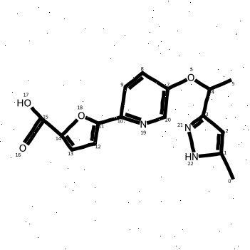 Cc1cc(C(C)Oc2ccc(-c3ccc(C(=O)O)o3)nc2)n[nH]1